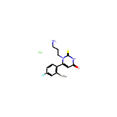 COc1cc(F)ccc1-c1cc(=O)[nH]c(=S)n1CCCN.Cl